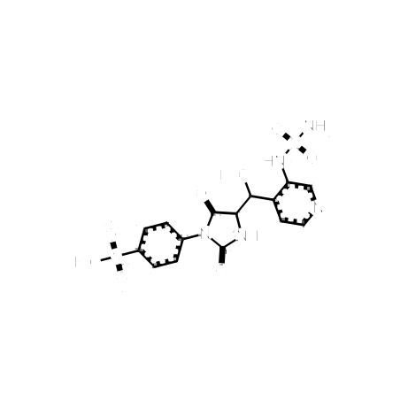 CC(c1ccncc1NS(N)(=O)=O)C1NC(=O)N(c2ccc(S(=O)(=O)C(F)(F)F)cc2)C1=O